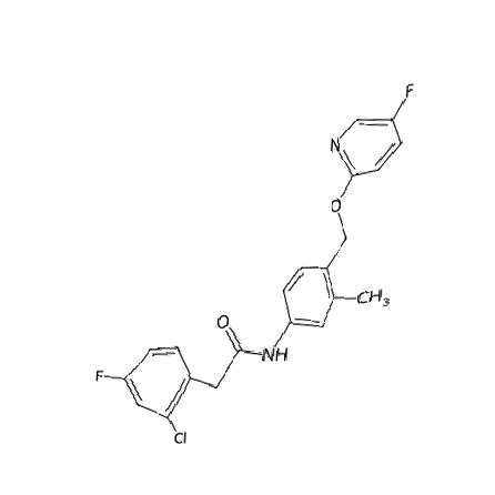 Cc1cc(NC(=O)Cc2ccc(F)cc2Cl)ccc1COc1ccc(F)cn1